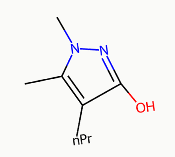 CCCc1c(O)nn(C)c1C